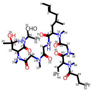 C/C=C/CC(C)CC(C(=O)NCC(=O)N(C)CC(=O)N(C)C(CC(C)(C)O)C(=O)NC(C=O)C(C)C)N(C)C(=O)CN(C)C(=O)C(CC(C)C)N(C)C(=O)CCC(C)C